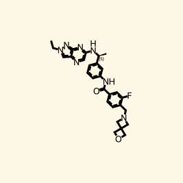 CCn1cc2ncc(N[C@@H](C)c3cccc(NC(=O)c4ccc(CN5CC6(COC6)C5)c(F)c4)c3)nc2n1